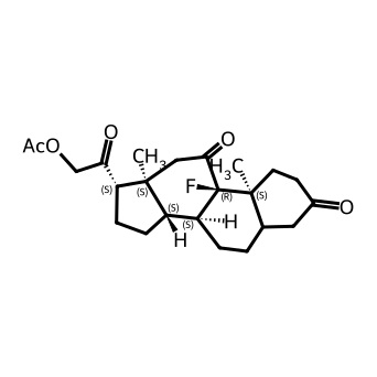 CC(=O)OCC(=O)[C@H]1CC[C@H]2[C@@H]3CCC4CC(=O)CC[C@]4(C)[C@@]3(F)C(=O)C[C@]12C